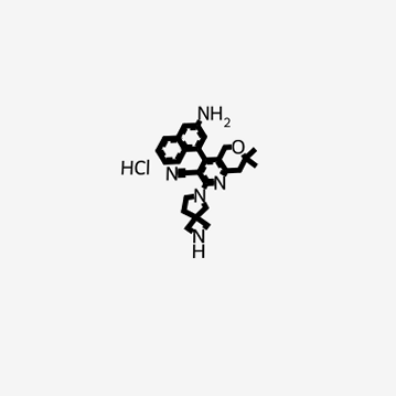 CC1(C)Cc2nc(N3CCC4(CNC4)C3)c(C#N)c(-c3cc(N)cc4ccccc34)c2CO1.Cl